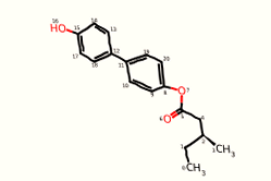 CC[C@H](C)CC(=O)Oc1ccc(-c2ccc(O)cc2)cc1